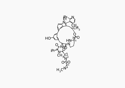 CCn1c(-c2cccnc2C(C)C)c2c3cc(ccc31)-c1cc(O)cc(c1)C[C@H](NC(=O)[C@H](C(C)C)N(C)C(=O)[C@H]1CCN(S(=O)(=O)[C@H]3CN3C)C1)C(=O)N1CCC[C@H](N1)C(=O)OCC(C)(C)C2